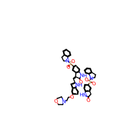 O=C1Cc2cc(S(=O)(=O)N3CCc4ccccc43)ccc2N1.O=C1Nc2ccc(S(=O)(=O)N3CCc4ccccc43)cc2C1=Cc1cc2cc(OCCN3CCOCC3)ccc2[nH]1